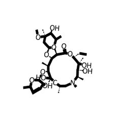 CC[C@H]1OC(=O)[C@H](C)[C@@H](O[C@H]2C[C@@](C)(OC)[C@@H](O)C(C)O2)[C@H](C)[C@@H](O[C@@H]2OC(C)C=CC2O)[C@](C)(O)C[C@@H](C)CN(C)[C@H](C)[C@@H](O)[C@]1(C)O